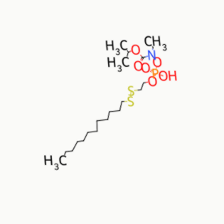 CCCCCCCCCCCCSSCCOP(=O)(O)ON(CC)C(=O)OC(C)C